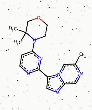 CC1(C)COCCN1c1ccnc(-c2cnc3cnc(C(F)(F)F)cn23)n1